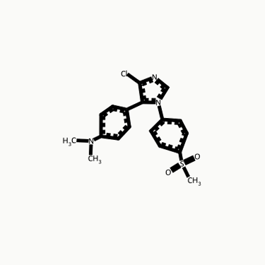 CN(C)c1ccc(-c2c(Cl)ncn2-c2ccc(S(C)(=O)=O)cc2)cc1